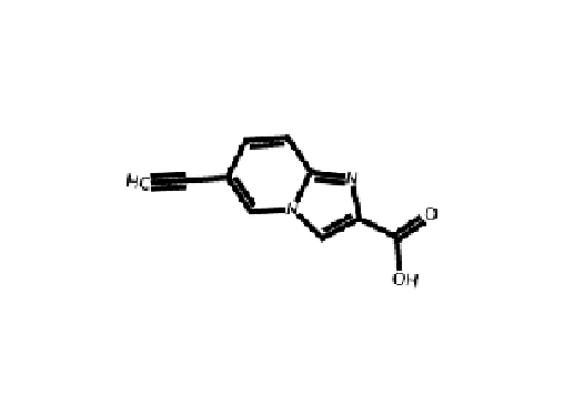 C#Cc1ccc2nc(C(=O)O)cn2c1